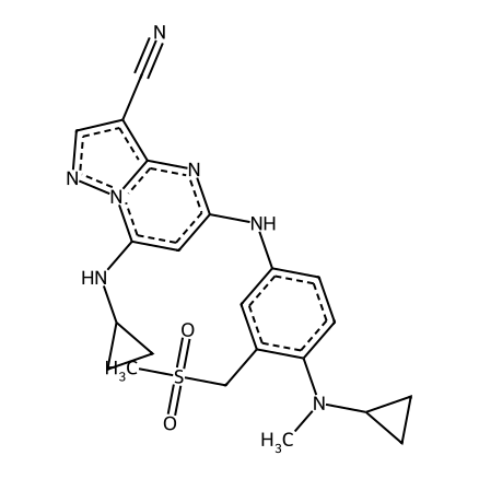 CN(c1ccc(Nc2cc(NC3CC3)n3ncc(C#N)c3n2)cc1CS(C)(=O)=O)C1CC1